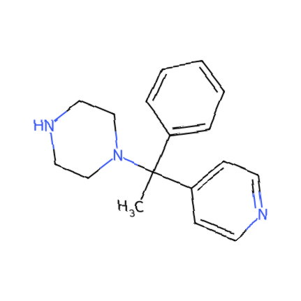 CC(c1ccccc1)(c1ccncc1)N1CCNCC1